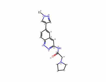 CCn1cc(-c2ccc3nnc(NC(=O)CN4CCCC4)cc3c2)cn1